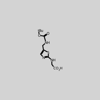 CC(C)(C)OC(=O)NCc1cnc(NCC(=O)O)s1